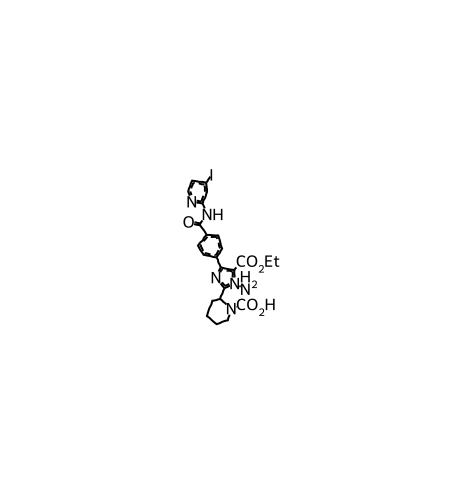 CCOC(=O)c1c(-c2ccc(C(=O)Nc3cc(I)ccn3)cc2)nc(C2CCCCN2C(=O)O)n1N